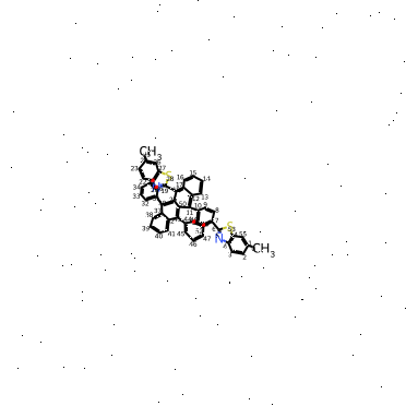 Cc1ccc2nc(-c3ccc(-c4c5ccccc5c(-c5nc6ccc(C)cc6s5)c5c(-c6ccccc6)c6ccccc6c(-c6ccccc6)c45)cc3)sc2c1